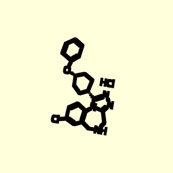 Cl.Clc1ccc2c(c1)CNCc1nnc([C@H]3CC[C@@H](Oc4ccccc4)CC3)n1-2